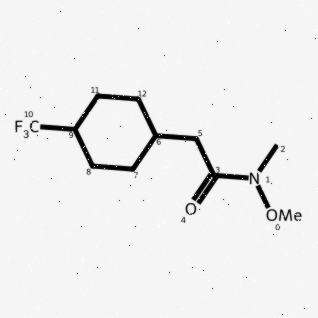 CON(C)C(=O)CC1CCC(C(F)(F)F)CC1